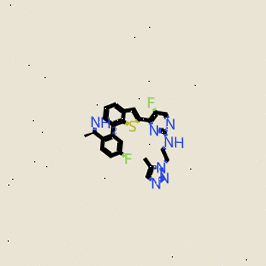 Cc1cnnn1CCNc1ncc(F)c(-c2cc3cccc(-c4cc(F)ccc4[C@@H](C)N)c3s2)n1